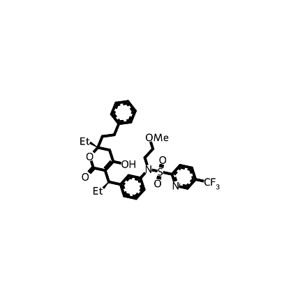 CC[C@@H](C1=C(O)C[C@@](CC)(CCc2ccccc2)OC1=O)c1cccc(N(CCOC)S(=O)(=O)c2ccc(C(F)(F)F)cn2)c1